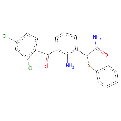 NC(=O)C(Sc1ccccc1)c1cccc(C(=O)c2ccc(Cl)cc2Cl)c1N